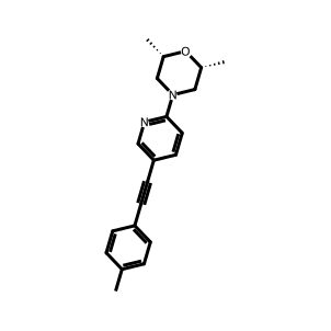 Cc1ccc(C#Cc2ccc(N3C[C@@H](C)O[C@@H](C)C3)nc2)cc1